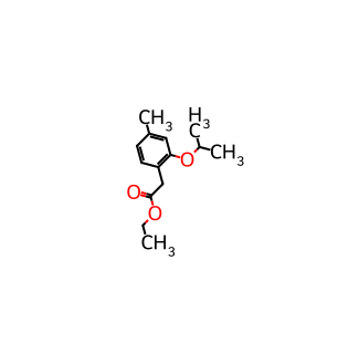 CCOC(=O)Cc1ccc(C)cc1OC(C)C